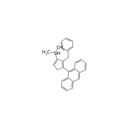 C[SiH](C)C1=CCC(c2c3ccccc3cc3ccccc23)=C1Cc1ccccc1